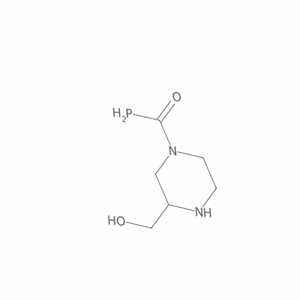 O=C(P)N1CCNC(CO)C1